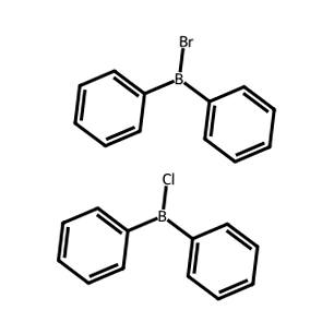 BrB(c1ccccc1)c1ccccc1.ClB(c1ccccc1)c1ccccc1